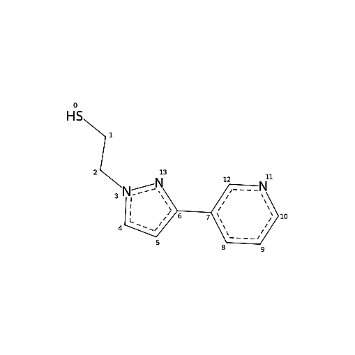 SCCn1ccc(-c2cccnc2)n1